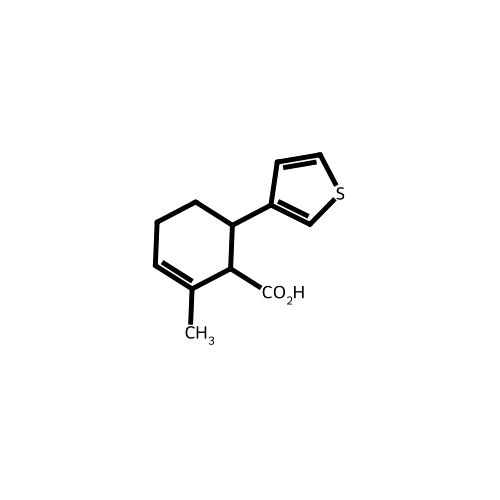 CC1=CCCC(c2ccsc2)C1C(=O)O